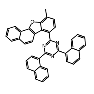 Cc1ccc(-c2nc(-c3cccc4ccccc34)nc(-c3cccc4ccccc34)n2)c2c1oc1c3ccccc3ccc12